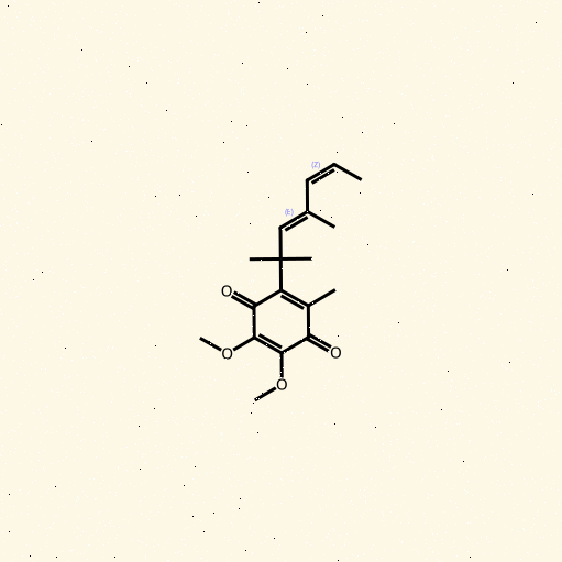 C/C=C\C(C)=C\C(C)(C)C1=C(C)C(=O)C(OC)=C(OC)C1=O